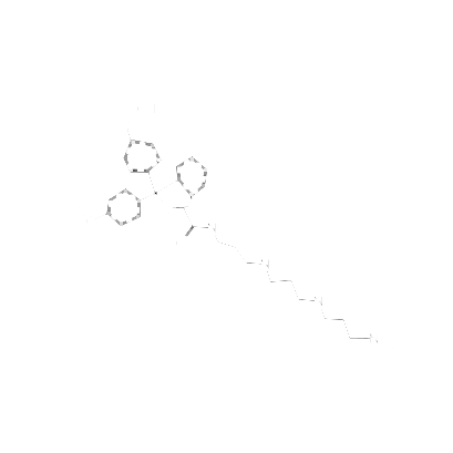 COc1ccc(C(OC(O)C(=O)NCCCNCCCNCCCN)(c2ccccc2)c2ccc(OC)cc2)cc1